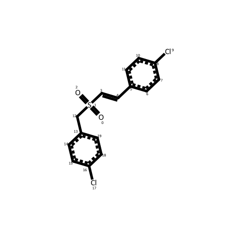 O=S(=O)(C=Cc1ccc(Cl)cc1)Cc1ccc(Cl)cc1